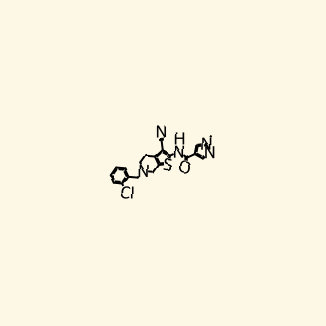 Cn1cc(C(=O)Nc2sc3c(c2C#N)CCN(Cc2ccccc2Cl)C3)cn1